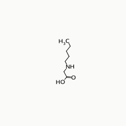 CCCCCNCC(=O)O